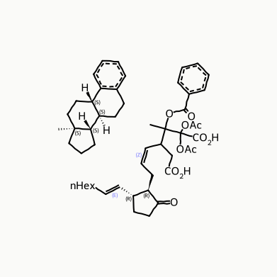 CCCCCC/C=C/[C@H]1CCC(=O)[C@@H]1C/C=C\C(CC(=O)O)C(C)(OC(=O)c1ccccc1)C(OC(C)=O)(OC(C)=O)C(=O)O.C[C@@]12CCC[C@H]1[C@@H]1CCc3ccccc3[C@H]1CC2